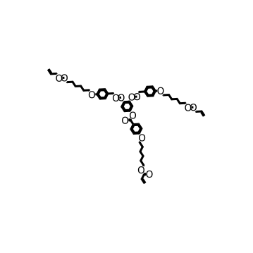 C=CCOOCCCCCCOc1ccc(COOc2ccc(OC(=O)c3ccc(OCCCCCCOC(=O)C=C)cc3)cc2OOCc2ccc(OCCCCCCOOCC=C)cc2)cc1